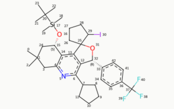 CC1(C)Cc2nc(C3CCCC3)c3c(c2[C@@H](O[Si](C)(C)C(C)(C)C)C1)C1(CCCC1I)O[C@@H]3c1ccc(C(F)(F)F)cc1